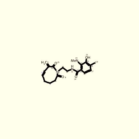 C=C1/C=C\CCCC(=O)N(CCNC(=O)c2ccc(I)c(O)c2NC)C1=O